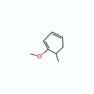 COC1=CC=CCC1C